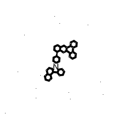 c1cc(-c2ccc(-n3c4ccccc4c4c5ccccc5ccc43)cc2)c2cc3c4ccccc4c4ccccc4c3cc2c1